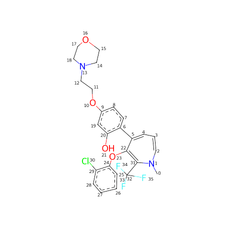 CN1C=CC=C(c2ccc(OCCN3CCOCC3)cc2O)C(Oc2ccccc2Cl)=C1C(F)(F)F